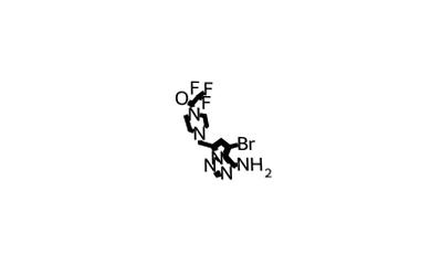 Nc1ncnn2c(CN3CCN(C(=O)C(F)(F)F)CC3)cc(Br)c12